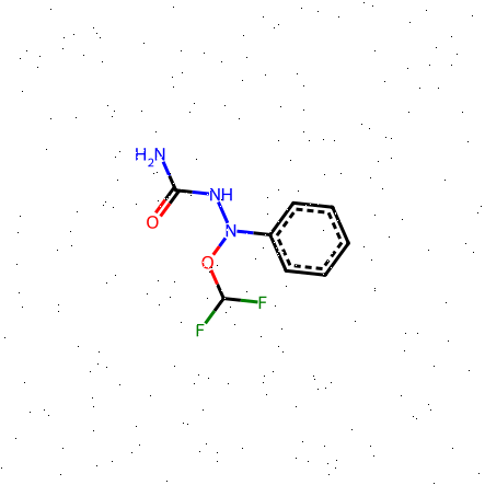 NC(=O)NN(OC(F)F)c1ccccc1